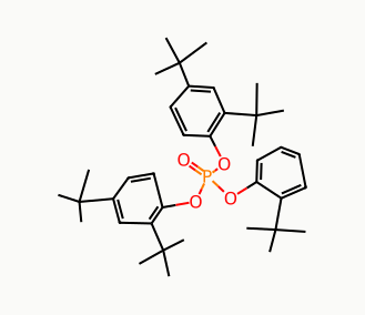 CC(C)(C)c1ccc(OP(=O)(Oc2ccccc2C(C)(C)C)Oc2ccc(C(C)(C)C)cc2C(C)(C)C)c(C(C)(C)C)c1